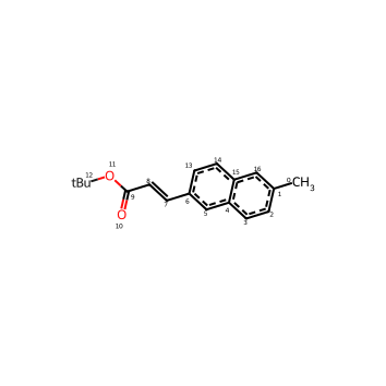 Cc1ccc2cc(/C=C/C(=O)OC(C)(C)C)ccc2c1